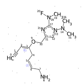 C#C/C=C(\C/C=C\CN)OCc1cn(N(C)C)c(N(C)F)n1